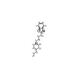 CCCC1CCN(CCCCc2nc3ccccc3o2)CC1